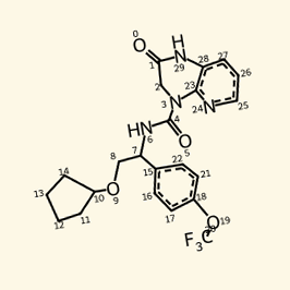 O=C1CN(C(=O)NC(COC2CCCC2)c2ccc(OC(F)(F)F)cc2)c2ncccc2N1